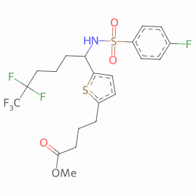 COC(=O)CCCc1ccc(C(CCCC(F)(F)C(F)(F)F)NS(=O)(=O)c2ccc(F)cc2)s1